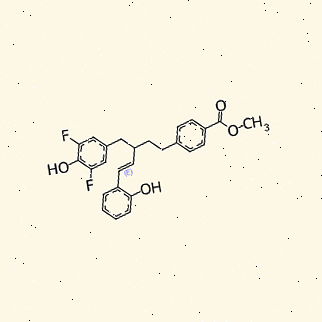 COC(=O)c1ccc(CCC(/C=C/c2ccccc2O)Cc2cc(F)c(O)c(F)c2)cc1